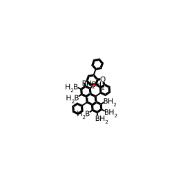 Bc1c(B)c(B)c2c(-c3cccc4oc5c(-c6ccccc6)cccc5c34)c3c(B)c(B)c(B)c(B)c3c(-c3ccccc3)c2c1B